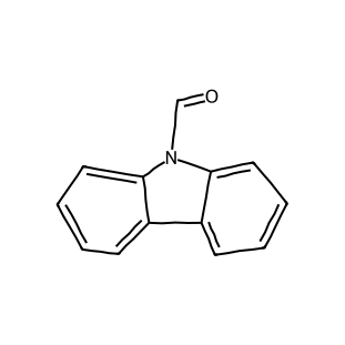 O=Cn1c2ccccc2c2ccccc21